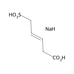 O=C(O)CC=CCS(=O)(=O)O.[NaH]